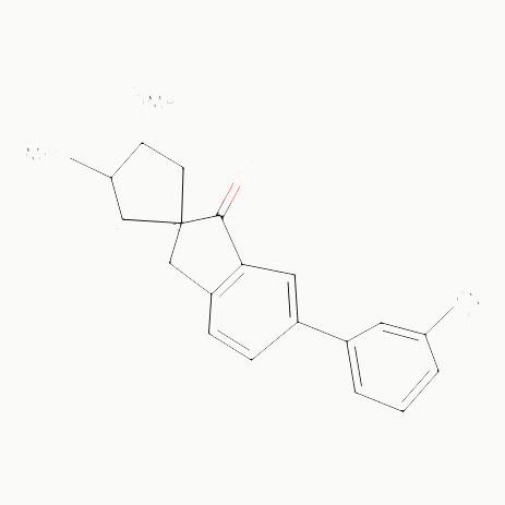 COC1CC2(Cc3ccc(-c4cccc(C#N)c4)cc3C2=O)C[C@H]1OC